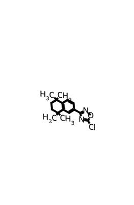 CC1(C)CCC(C)(C)c2cc(-c3noc(Cl)n3)ccc21